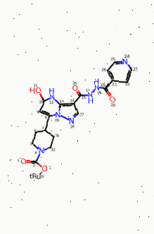 CC(C)(C)OC(=O)N1CCC(C2=CC(O)Nc3c(C(=O)NNC(=O)c4ccncc4)cnn32)CC1